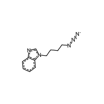 [N-]=[N+]=NCCCCn1cnc2ccccc21